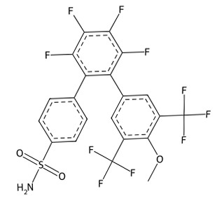 COc1c(C(F)(F)F)cc(-c2c(F)c(F)c(F)c(F)c2-c2ccc(S(N)(=O)=O)cc2)cc1C(F)(F)F